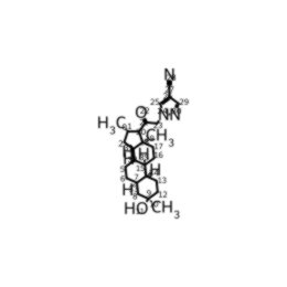 C[C@@H]1C[C@H]2[C@@H]3CC[C@@H]4C[C@](C)(O)CC[C@@H]4[C@H]3CC[C@]2(C)C1C(=O)Cn1cc(C#N)cn1